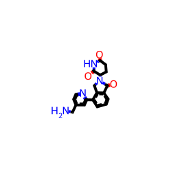 NCc1ccnc(-c2cccc3c2CN(C2CCC(=O)NC2=O)C3=O)c1